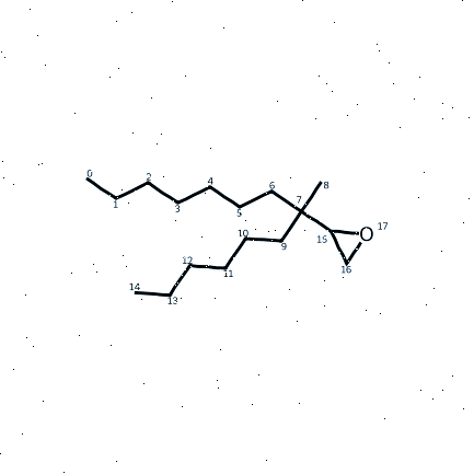 CCCCCCCC(C)(CCCCCC)C1CO1